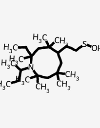 CCC(C)N1C(C)(C)CC(C)(C)CC(CCSO)C(C)(C)CC1(C)CC